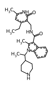 CCc1cc(C)[nH]c(=O)c1CNC(=O)c1c(C)n(C(C)C2CCNCC2)c2ccccc12